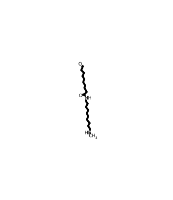 CNCCCCCCCCCCNC(=O)CCCCCCCCC=O